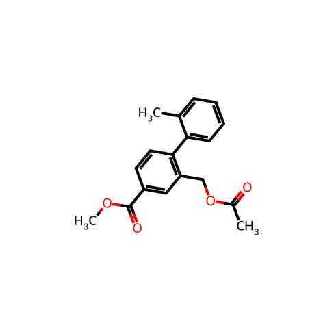 COC(=O)c1ccc(-c2ccccc2C)c(COC(C)=O)c1